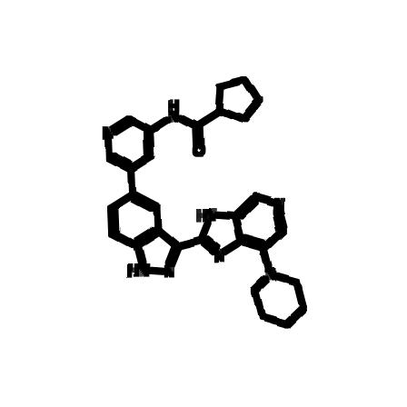 O=C(Nc1cncc(-c2ccc3[nH]nc(-c4nc5c(N6CCCCC6)cncc5[nH]4)c3c2)c1)C1CCCC1